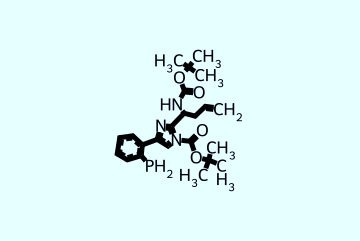 C=CCC(NC(=O)OC(C)(C)C)c1nc(-c2ccccc2P)cn1C(=O)OC(C)(C)C